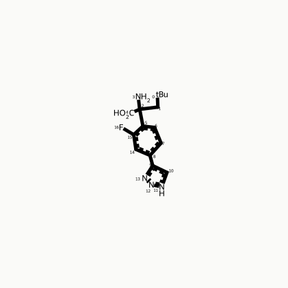 CC(C)(C)CC(N)(C(=O)O)c1ccc(-c2c[nH]nn2)cc1F